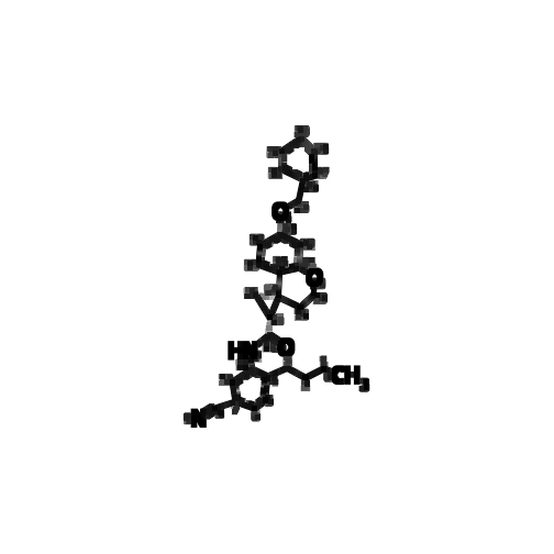 CCCCc1ccc(C#N)cc1NC(=O)[C@@H]1C[C@]12CCOc1cc(OCc3ccccc3)ccc12